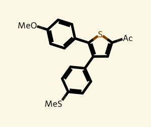 COc1ccc(-c2sc(C(C)=O)cc2-c2ccc(SC)cc2)cc1